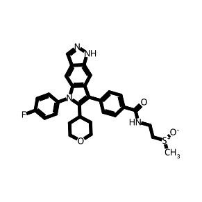 C[S+]([O-])CCNC(=O)c1ccc(-c2c(C3CCOCC3)n(-c3ccc(F)cc3)c3cc4cn[nH]c4cc23)cc1